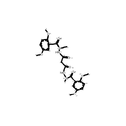 COc1ccc(OC)c(C(=[Se])N(C)NC(=O)CC(=O)NN(C)C(=[Se])c2cc(OC)ccc2OC)c1